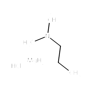 CCCN(C)C.Cl.[MgH2]